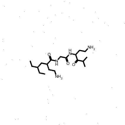 CCC(CC)CC(CCN)C(=O)NCC(=O)NC(CCN)C(=O)C(C)C